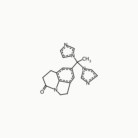 CC(c1cc2c3c(c1)CCN3C(=O)CC2)(n1ccnc1)n1ccnc1